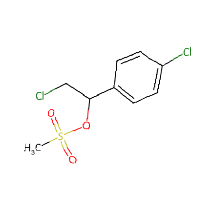 CS(=O)(=O)OC(CCl)c1ccc(Cl)cc1